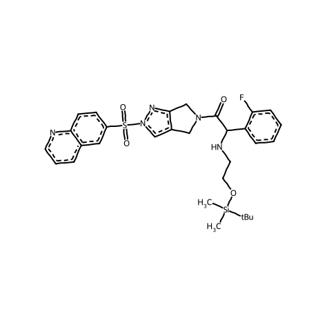 CC(C)(C)[Si](C)(C)OCCNC(C(=O)N1Cc2cn(S(=O)(=O)c3ccc4ncccc4c3)nc2C1)c1ccccc1F